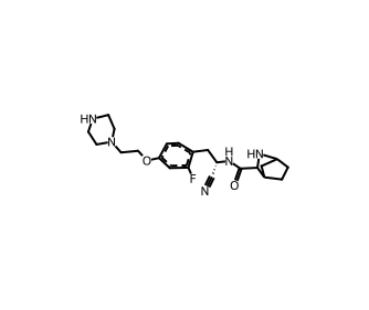 N#C[C@H](Cc1ccc(OCCN2CCNCC2)cc1F)NC(=O)C1NC2CCC1C2